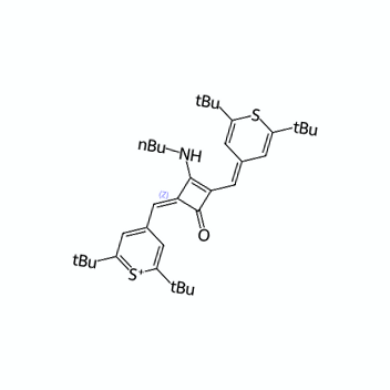 CCCCNC1=C(C=C2C=C(C(C)(C)C)SC(C(C)(C)C)=C2)C(=O)/C1=C\c1cc(C(C)(C)C)[s+]c(C(C)(C)C)c1